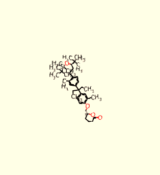 CCC(CC)(c1ccc(CCC(O[Si](C)(C)C(C)(C)C)C(C)(C)C)c(C)c1)c1ccc(OC[C@H]2CCCC(=O)O2)c(C)c1